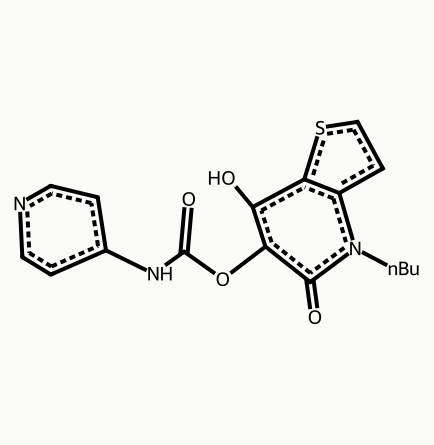 CCCCn1c(=O)c(OC(=O)Nc2ccncc2)c(O)c2sccc21